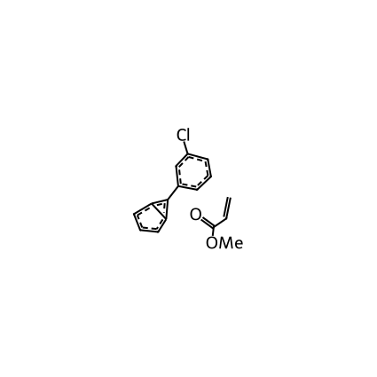 C=CC(=O)OC.Clc1cccc(-c2c3cccc2-3)c1